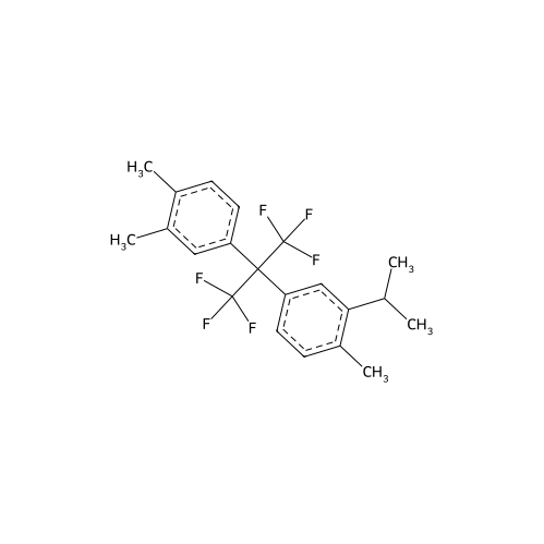 Cc1ccc(C(c2ccc(C)c(C(C)C)c2)(C(F)(F)F)C(F)(F)F)cc1C